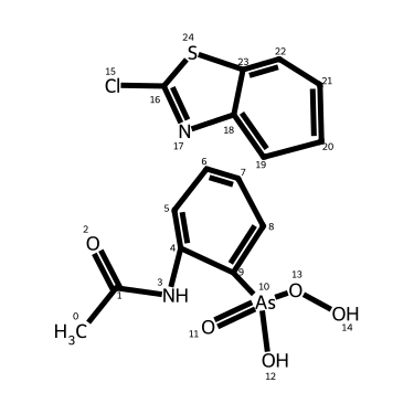 CC(=O)Nc1ccccc1[As](=O)(O)OO.Clc1nc2ccccc2s1